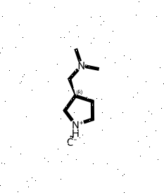 [CH2-][NH+]1CC[C@H](CN(C)C)C1